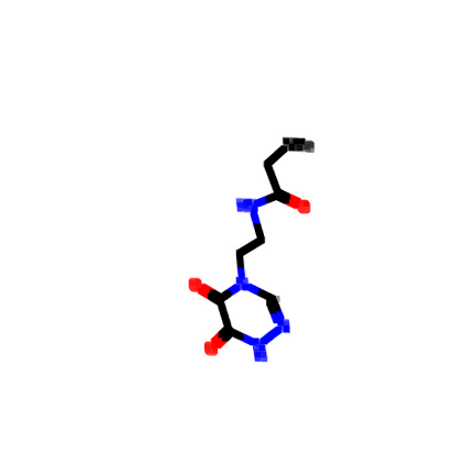 CNCC(=O)NCCn1[c]n[nH]c(=O)c1=O